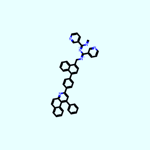 C=N/C(=N\C(=N/Cc1ccc(-c2ccc(-c3cc(-c4ccccc4)c4c(ccc5ccccc54)n3)cc2)c2ccccc12)c1cccnc1)c1cccnc1